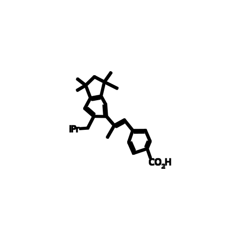 CC(=Cc1ccc(C(=O)O)cc1)c1cc2c(cc1CC(C)C)C(C)(C)CC2(C)C